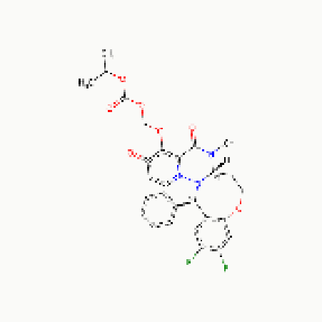 CC(C)OC(=O)OCOc1c2n(ccc1=O)N1[C@H](c3ccccc3)c3cc(F)c(F)cc3OCC[C@H]1N(C)C2=O